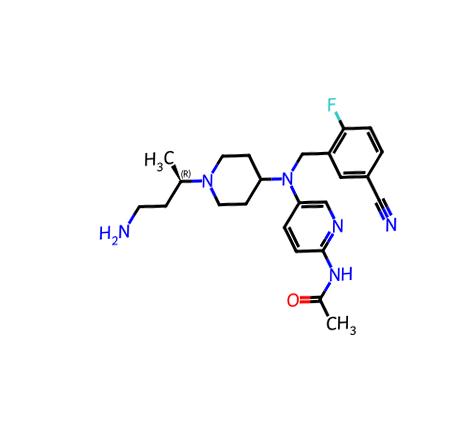 CC(=O)Nc1ccc(N(Cc2cc(C#N)ccc2F)C2CCN([C@H](C)CCN)CC2)cn1